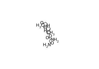 C[C@]12CC[C@H](OC(=O)[C@@H](N)CC(N)=O)CC1=CC[C@@H]1[C@@H]2CC[C@]2(C)C(=O)CC[C@@H]12